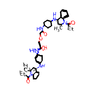 CCC(=O)N1c2ccccc2[C@H](Nc2ccc(NC(O)COCC(=O)NC3CCC(N[C@@H]4C[C@H](C)N(C(=O)CC)c5ccccc54)CC3)cc2)C[C@@H]1C